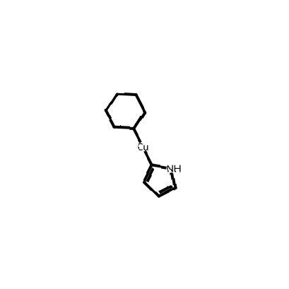 c1c[nH][c]([Cu][CH]2CCCCC2)c1